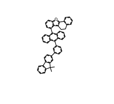 CC1(C)c2ccccc2-c2ccc(-c3cccc(-c4c5ccccc5c(-c5cccc6oc7c(c56)CCc5ccccc5-7)c5ccccc45)c3)cc21